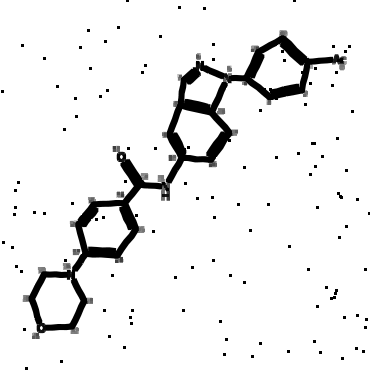 CC(=O)c1ccc(-n2ncc3cc(NC(=O)c4ccc(N5CCOCC5)cc4)ccc32)cc1